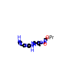 Cc1cc(-c2ccnc(Nc3ccc(N4CCC(CN5CCNCC5)CC4)cc3)n2)ccc1CNC(=O)N1CC(OC(C)C)C1